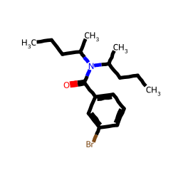 CCCC(C)N(C(=O)c1cccc(Br)c1)C(C)CCC